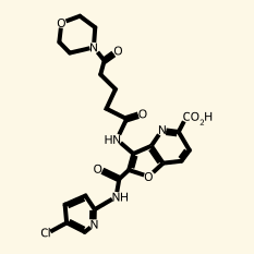 O=C(CCCC(=O)N1CCOCC1)Nc1c(C(=O)Nc2ccc(Cl)cn2)oc2ccc(C(=O)O)nc12